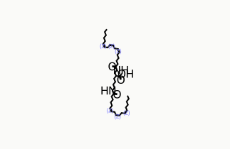 CCCCC/C=C\C/C=C\C/C=C\CCCCC(=O)NCCCCC(CNC(=O)CCCC/C=C\C/C=C\C/C=C\CCCCC)C(=O)O